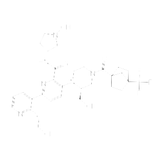 CCOc1ncccc1-c1ccc(N2CCN(C(=O)C34CCC(C(F)(F)F)(CC3)C4)C[C@H]2CC)c(C(=O)N[C@@H]2CCN(C)C2)n1